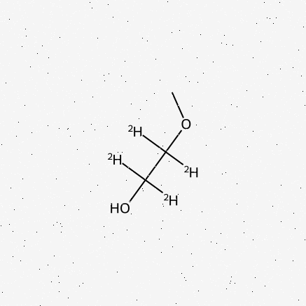 [2H]C([2H])(O)C([2H])([2H])OC